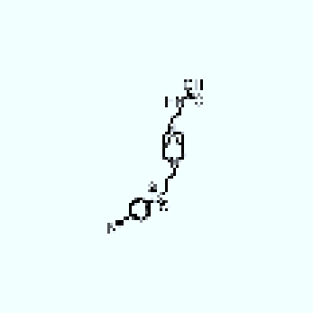 N#Cc1ccc(S(=O)(=O)CCCN2CC3CN(CCNC(=O)O)CC(C2)O3)cc1